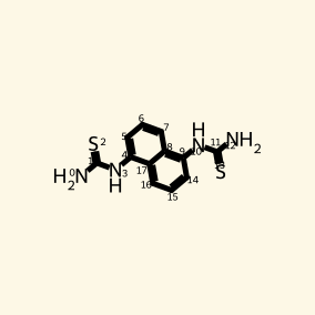 NC(=S)Nc1cccc2c(NC(N)=S)cccc12